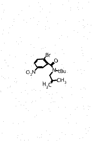 C=C(C)CN(C(=O)c1cc([N+](=O)[O-])ccc1Br)C(C)(C)C